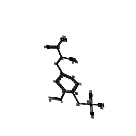 C=Cc1cc(CC(N)C(=O)O)ccc1CS(=O)(=O)O